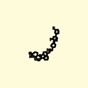 O=C1CCC(N2C(=O)c3cccc4c(CNCC5CCN(c6ncc(-c7cccc(F)c7)cc6F)CC5)ccc2c34)C(=O)N1